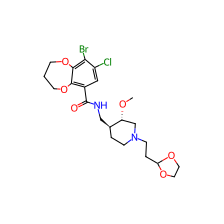 CO[C@@H]1CN(CCC2OCCO2)CC[C@H]1CNC(=O)c1cc(Cl)c(Br)c2c1OCCCO2